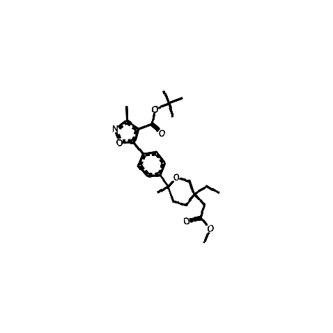 CCC1(CC(=O)OC)CCC(C)(c2ccc(-c3onc(C)c3C(=O)OC(C)(C)C)cc2)OC1